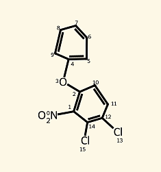 O=[N+]([O-])c1c(Oc2ccccc2)ccc(Cl)c1Cl